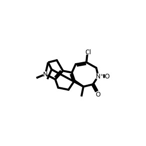 CC1C2CC3=C(CCC4=C3/C=C(/Cl)C[N+](=O)C(=O)C41C)N2C